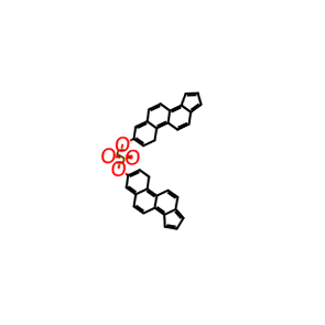 O=S(=O)(OC1=CCc2c(ccc3c4c(ccc23)=CC=C4)=C1)OC1=CCc2c(ccc3c4c(ccc23)=CC=C4)=C1